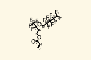 C=CC(=O)OCCC(F)(OCC(F)(F)C(F)(F)C(F)(F)C(F)F)C(F)(F)F